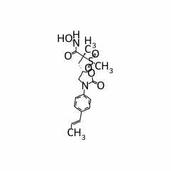 CC=Cc1ccc(N2C[C@H](C[C@](C)(C(=O)NO)S(C)(=O)=O)OC2=O)cc1